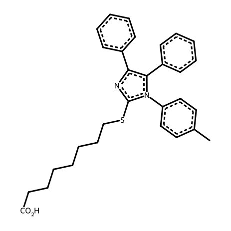 Cc1ccc(-n2c(SCCCCCCCC(=O)O)nc(-c3ccccc3)c2-c2ccccc2)cc1